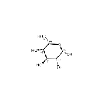 O=C(O)[C@@H]1O[C@H](O)[C@H](O)[C@@H](O)[C@@H]1O